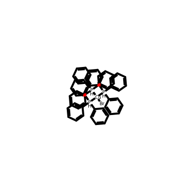 [Br][Cu]([PH](c1ccccc1)(c1ccccc1)c1ccccc1)([PH](c1ccccc1)(c1ccccc1)c1ccccc1)[PH](c1ccccc1)(c1ccccc1)c1ccccc1